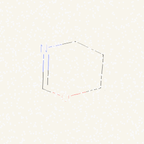 C1=NCCCO1